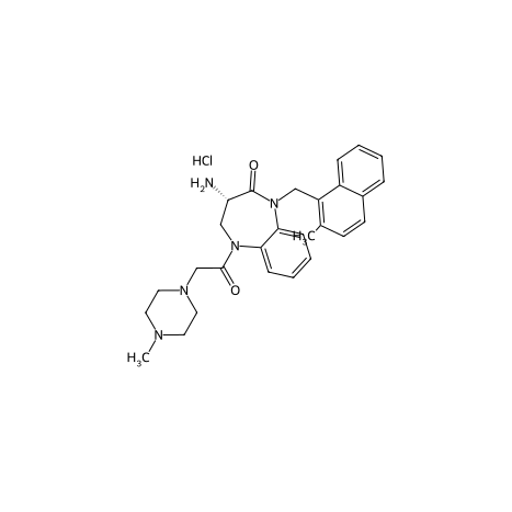 Cc1ccc2ccccc2c1CN1C(=O)[C@@H](N)CN(C(=O)CN2CCN(C)CC2)c2ccccc21.Cl